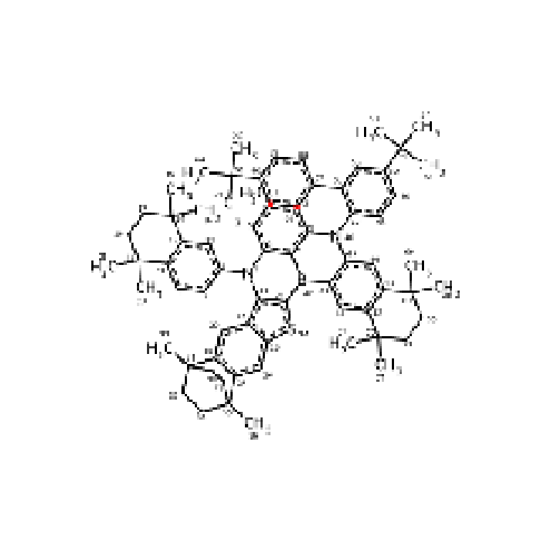 Cc1cc2c3c(c1)N(c1ccc4c(c1)C(C)(C)CCC4(C)C)c1c(sc4cc5c(cc14)C1(C)CCC5(C)CC1)B3c1cc3c(cc1N2c1ccc(C(C)(C)C)cc1-c1ccc(C(C)(C)C)cc1)C(C)(C)CCC3(C)C